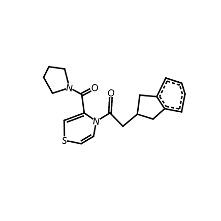 O=C(C1=CSC=CN1C(=O)CC1Cc2ccccc2C1)N1CCCC1